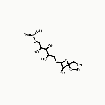 CCC(C)P(O)OCC(O)C(O)C(O)COC1OC(CO)(OC(C)C)C1O